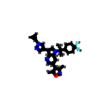 [2H]C([2H])(C1CCC(F)(F)CC1)n1cc(-c2cnn(C3CC3)c2)c2ncc(-c3c(C)noc3C)cc21